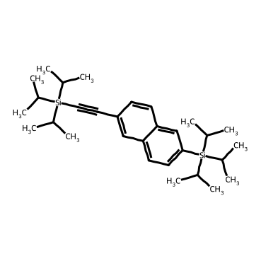 CC(C)[Si](C#Cc1ccc2cc([Si](C(C)C)(C(C)C)C(C)C)ccc2c1)(C(C)C)C(C)C